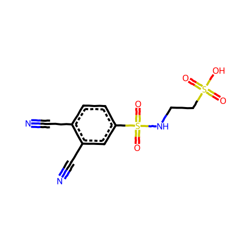 N#Cc1ccc(S(=O)(=O)NCCS(=O)(=O)O)cc1C#N